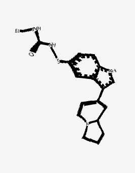 CCNC(=O)NSc1ccc2[nH]cc(C3=CCN4CCCC4C3)c2c1